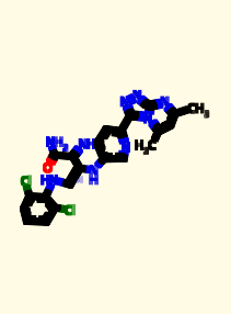 Cc1cc(C)n2c(-c3ccc(N/C(=C/Nc4c(Cl)cccc4Cl)C(=N)C(N)=O)cn3)nnc2n1